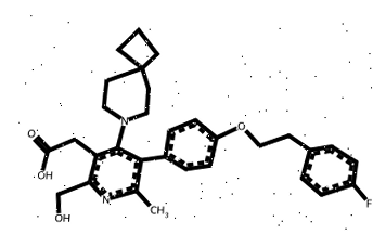 Cc1nc(CO)c(CC(=O)O)c(N2CCC3(CCC3)CC2)c1-c1ccc(OCCc2ccc(F)cc2)cc1